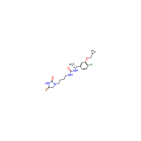 C[C@@H](NC(=O)NCCCCN1CC(=S)NC1=O)c1ccc(F)c(OCC2CC2)c1